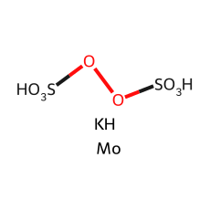 O=S(=O)(O)OOS(=O)(=O)O.[KH].[Mo]